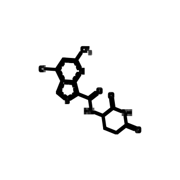 O=C1CCC(NC(=O)c2scc3c(Cl)cc(C(F)(F)F)nc23)C(=O)N1